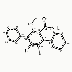 COc1c(C(N)=O)c(-c2ccccc2)n(C)c(=O)c1-c1ccccc1